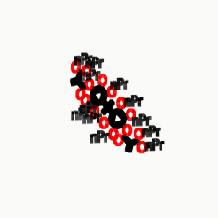 C=C(C(=O)Oc1c(OCCC)c(OCCC)c(C(C)(C)c2c(OCCC)c(OCCC)c(OC(=O)C(=C)C(OCCC)OCCC)c(OCCC)c2OCCC)c(OCCC)c1OCCC)C(OCCC)OCCC